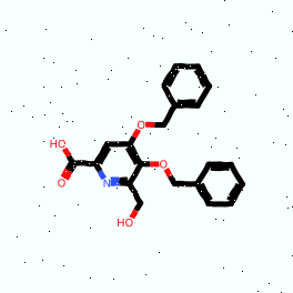 O=C(O)c1cc(OCc2ccccc2)c(OCc2ccccc2)c(CO)n1